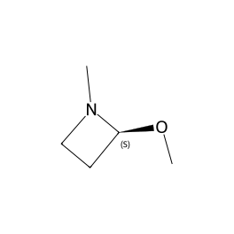 CO[C@H]1CCN1C